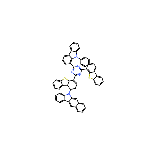 C1=C(c2nc(-c3cccc4c3sc3ccccc34)nc(-c3cccc4c5ccccc5n(-c5ccccc5)c34)n2)C2Sc3ccccc3C2C(n2c3ccccc3c3cc4ccccc4cc32)C1